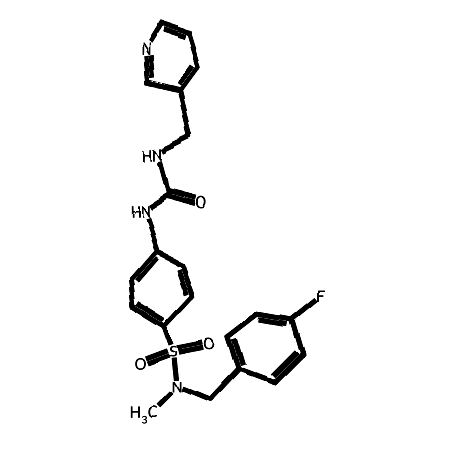 CN(Cc1ccc(F)cc1)S(=O)(=O)c1ccc(NC(=O)NCc2cccnc2)cc1